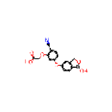 N#Cc1ccc(Oc2ccc3c(c2)COB3O)cc1OCC(=O)O